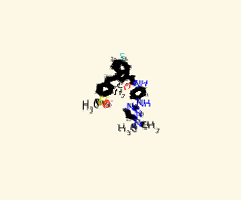 CC1=C(CC(=O)NC2CCC(Nc3nccc(N(C)C)n3)CC2)c2cc(F)ccc2C1=Cc1ccc([S+](C)[O-])cc1